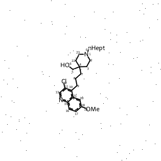 CCCCCCCN1CCC(CO)(CCCc2c(Cl)cnc3ccc(OC)cc23)CC1